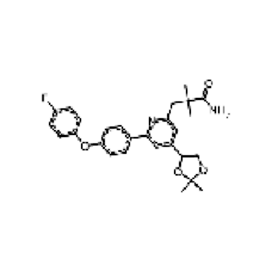 CC1(C)OCC(c2cc(CC(C)(C)C(N)=O)nc(-c3ccc(Oc4ccc(F)cc4)cc3)c2)O1